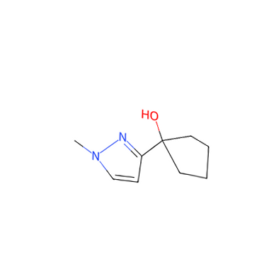 Cn1ccc(C2(O)CCCC2)n1